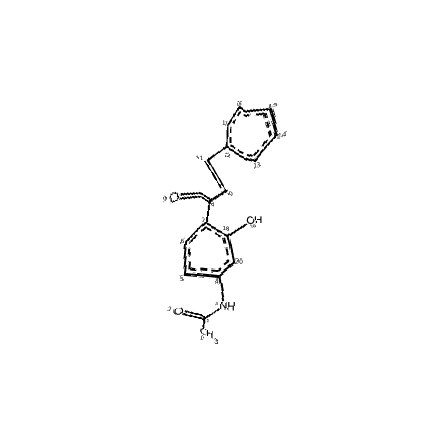 CC(=O)Nc1ccc(C(=O)C=Cc2ccccc2)c(O)c1